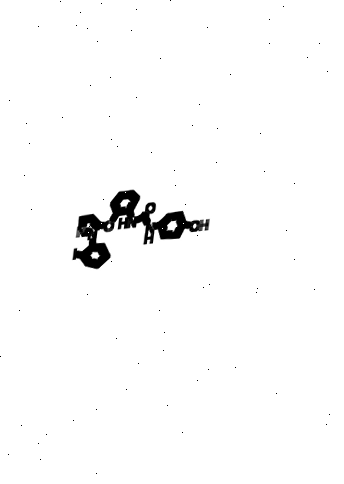 O=C(Nc1ccc(O)cc1)Nc1ccccc1Oc1ccnn1-c1ccccc1I